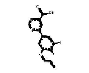 C=C/C=N\c1cc(-c2cc(C(=O)O)ncn2)cc(I)c1C